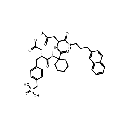 NC(=O)C[C@H](NC(=O)C1(NC(=O)[C@@H](CC(=O)O)Cc2ccc(CP(=O)(O)O)cc2)CCCCC1)C(=O)NCCCc1ccc2ccccc2c1